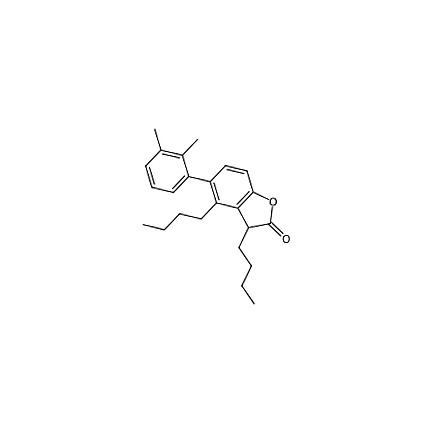 CCCCc1c(-c2cccc(C)c2C)ccc2c1C(CCCC)C(=O)O2